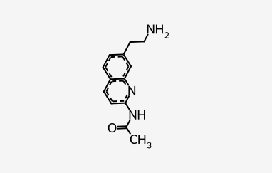 CC(=O)Nc1ccc2ccc(CCN)cc2n1